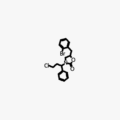 O=C1OC(Cc2ccccc2Br)CN1C(CCCl)c1ccccc1